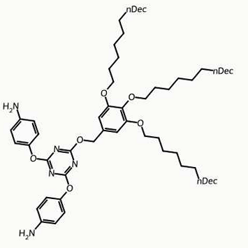 CCCCCCCCCCCCCCCCOc1cc(COc2nc(Oc3ccc(N)cc3)nc(Oc3ccc(N)cc3)n2)cc(OCCCCCCCCCCCCCCCC)c1OCCCCCCCCCCCCCCCC